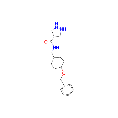 O=C(NCC1CCC(OCc2ccccc2)CC1)C1CNNC1